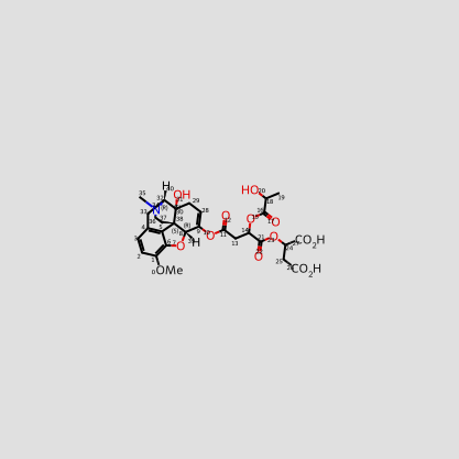 COc1ccc2c3c1O[C@H]1C(OC(=O)CC(OC(=O)C(C)O)C(=O)OC(CC(=O)O)C(=O)O)=CC[C@@]4(O)[C@@H](C2)N(C)CC[C@]314